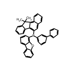 CC1(C)c2ccccc2-c2c(N(c3cccc(-c4ccccc4)c3)c3cccc4c3oc3ccccc34)cc3ccccc3c21